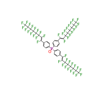 O=P(c1ccc(C(F)=C(F)C(F)(F)C(F)(F)C(F)(F)C(F)(F)C(F)(F)C(F)(F)F)cc1)(c1ccc(C(F)=C(F)C(F)(F)C(F)(F)C(F)(F)C(F)(F)C(F)(F)C(F)(F)F)cc1)c1ccc(C(F)=C(F)C(F)(F)C(F)(F)C(F)(F)C(F)(F)C(F)(F)C(F)(F)F)cc1